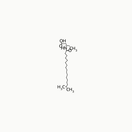 CC[C](CC(=O)O)NC(=O)CCCCCCCCCCCCCCC(C)C